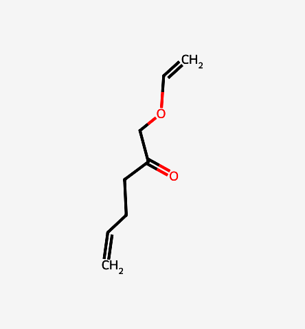 C=CCCC(=O)COC=C